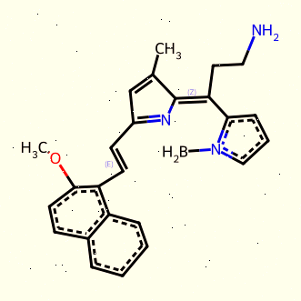 Bn1cccc1/C(CCN)=C1N=C(/C=C/c2c(OC)ccc3ccccc23)C=C\1C